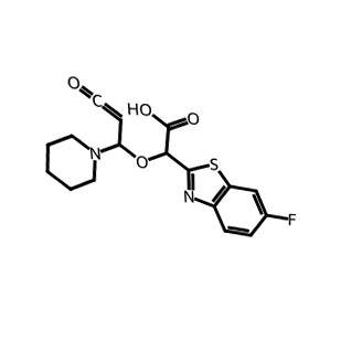 O=C=CC(OC(C(=O)O)c1nc2ccc(F)cc2s1)N1CCCCC1